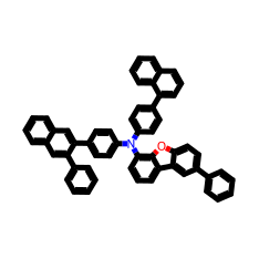 c1ccc(-c2ccc3oc4c(N(c5ccc(-c6cc7ccccc7cc6-c6ccccc6)cc5)c5ccc(-c6cccc7ccccc67)cc5)cccc4c3c2)cc1